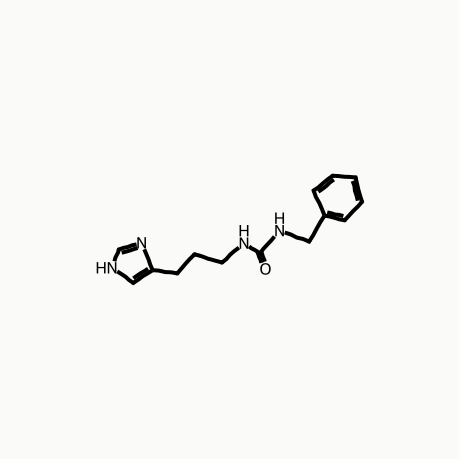 O=C(NCCCc1c[nH]cn1)NCc1ccccc1